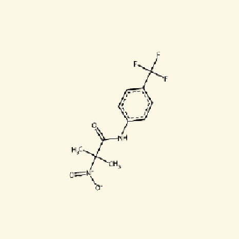 CC(C)(C(=O)Nc1ccc(C(F)(F)F)cc1)[N+](=O)[O-]